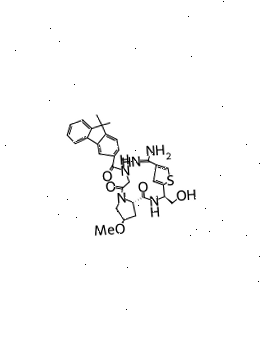 CO[C@@H]1C[C@@H](C(=O)N[C@H](CO)c2cc(C(=N)N)cs2)N(C(=O)CNC(=O)c2ccc3c(c2)-c2ccccc2C3(C)C)C1